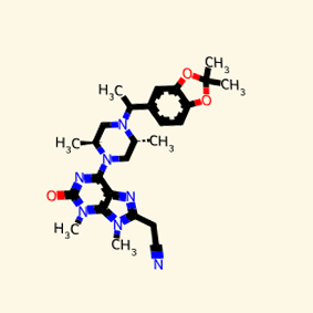 CC(c1ccc2c(c1)OC(C)(C)O2)N1C[C@H](C)N(c2nc(=O)n(C)c3c2nc(CC#N)n3C)C[C@H]1C